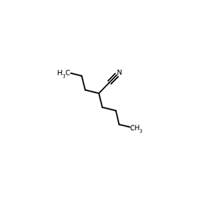 CCCCC(C#N)CCC